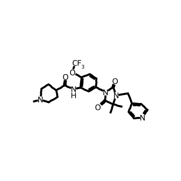 CN1CCC(C(=O)Nc2cc(N3C(=O)N(Cc4ccncc4)C(C)(C)C3=O)ccc2OC(F)(F)F)CC1